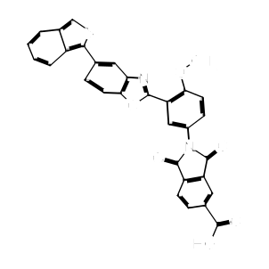 COc1ccc(N2C(=O)c3ccc(C(=O)O)cc3C2=O)cc1-c1nc2cc(-c3scc4ccccc34)ccc2o1